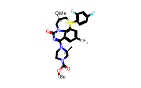 CO[C@H]1Cn2c(=O)nc(N3CCN(C(=O)OC(C)(C)C)C[C@@H]3C)c3cc(C(F)(F)F)cc(c32)[SH](c2ccc(F)cc2F)C1